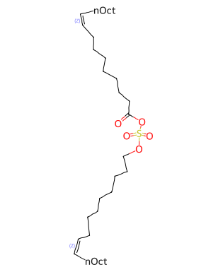 CCCCCCCC/C=C\CCCCCCCCOS(=O)(=O)OC(=O)CCCCCCC/C=C\CCCCCCCC